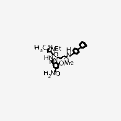 CCn1nc(C)cc1C(=O)Nc1nc2cc(C(N)=O)cc(OC)c2n1CCCC(=O)NCc1ccc(-c2ccccc2)cc1